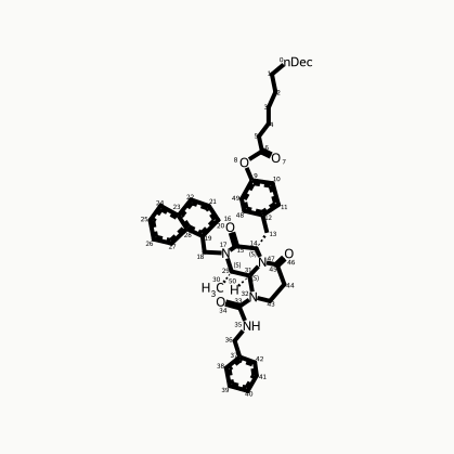 CCCCCCCCCCCCCCCC(=O)Oc1ccc(C[C@H]2C(=O)N(Cc3cccc4ccccc34)[C@@H](C)[C@@H]3N(C(=O)NCc4ccccc4)CCC(=O)N32)cc1